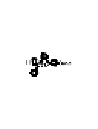 COc1ccc(C(=O)c2ccccc2C(=O)N2CCNCC2Cc2ccccc2)cc1